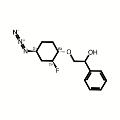 [N-]=[N+]=N[C@H]1CC[C@H](OCC(O)c2ccccc2)[C@@H](F)C1